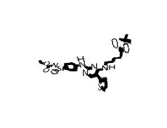 CCOC(=O)N=[SH](=O)c1ccc(Nc2ncc(-c3cccs3)c(NCCCCC(=O)OC(C)(C)C)n2)cc1